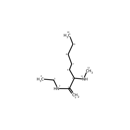 C=C(NCC)C(CCCCC)NC